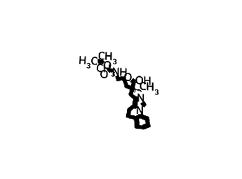 CC[C@@](CCCNC(=O)OC(C)(C)C)(Cc1ncn2c1CCc1ccccc1-2)C(=O)O